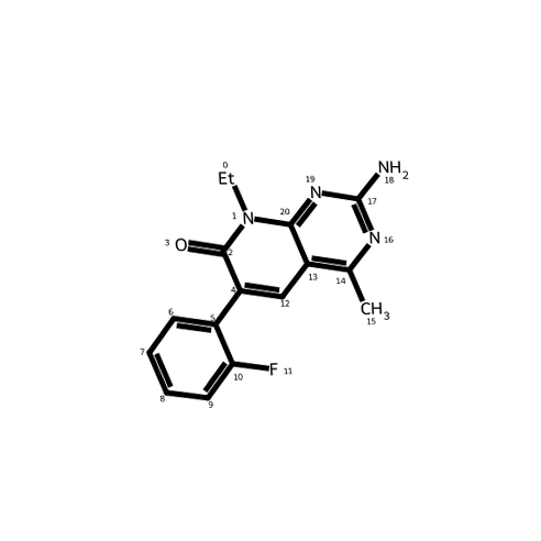 CCn1c(=O)c(-c2ccccc2F)cc2c(C)nc(N)nc21